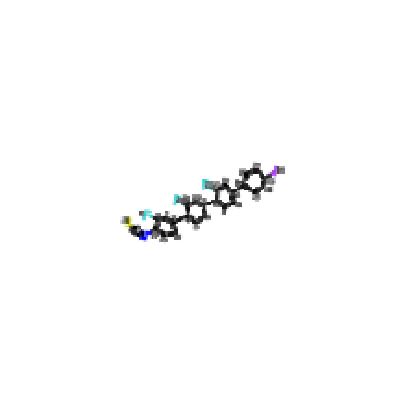 Fc1cc(-c2ccc(-c3ccc(-c4ccc(I)cc4)cc3F)cc2F)ccc1N=C=S